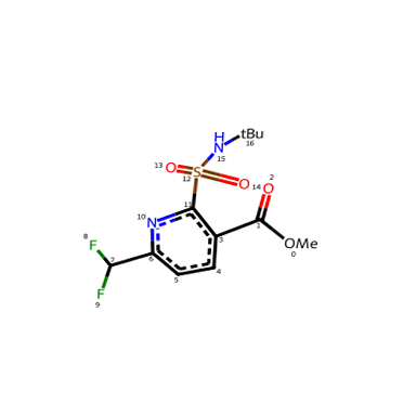 COC(=O)c1ccc(C(F)F)nc1S(=O)(=O)NC(C)(C)C